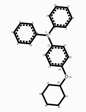 c1ccc([S+](c2ccccc2)c2ccc(OC3CCCCC3)cc2)cc1